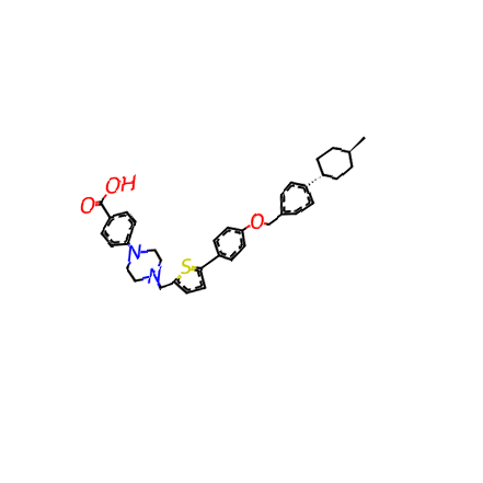 C[C@H]1CC[C@H](c2ccc(COc3ccc(-c4ccc(CN5CCN(c6ccc(C(=O)O)cc6)CC5)s4)cc3)cc2)CC1